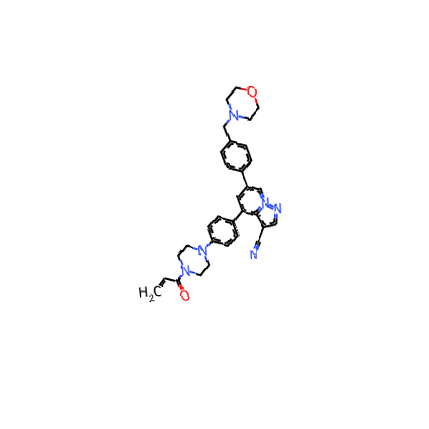 C=CC(=O)N1CCN(c2ccc(-c3cc(-c4ccc(CN5CCOCC5)cc4)cn4ncc(C#N)c34)cc2)CC1